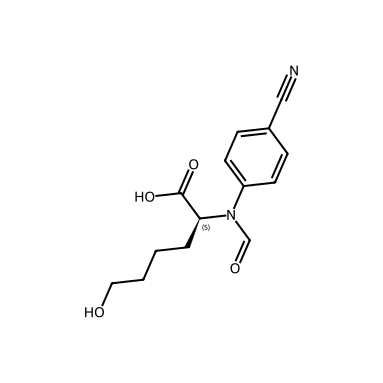 N#Cc1ccc(N(C=O)[C@@H](CCCCO)C(=O)O)cc1